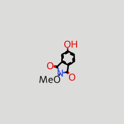 CON1C(=O)c2ccc(O)cc2C1=O